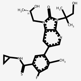 Cc1cc(F)c(C(=S)NC2CC2)cc1-c1cnc2c(c1)n(C[C@H](C)O)c(=O)n2C(C)(C)CO